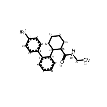 CC(C)c1ccc(-c2ccccc2C2CCCCC2C(=O)NCC#N)cc1